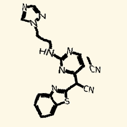 CC#N.N#CC(c1ccnc(NCCn2cncn2)n1)c1nc2ccccc2s1